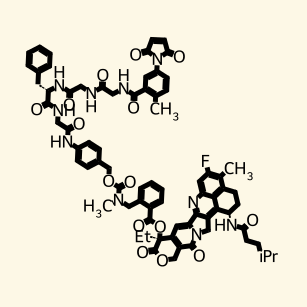 CC[C@@]1(OC(=O)c2ccccc2CN(C)C(=O)OCc2ccc(NC(=O)CNC(=O)[C@H](Cc3ccccc3)NC(=O)CNC(=O)CNC(=O)c3cc(N4C(=O)C=CC4=O)ccc3C)cc2)C(=O)OCc2c1cc1n(c2=O)Cc2c-1nc1cc(F)c(C)c3c1c2[C@@H](NC(=O)CCC(C)C)CC3